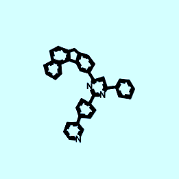 c1ccc(-c2cc(-c3ccc4c(c3)-c3c(ccc5ccccc35)C4)nc(-c3ccc(-c4cccnc4)cc3)n2)cc1